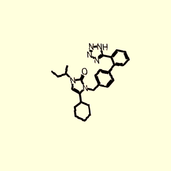 CCC(C)n1cc(C2CCCCC2)n(Cc2ccc(-c3ccccc3-c3nnn[nH]3)cc2)c1=O